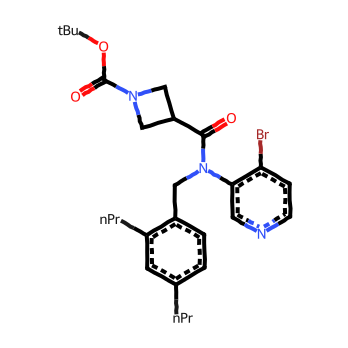 CCCc1ccc(CN(C(=O)C2CN(C(=O)OC(C)(C)C)C2)c2cnccc2Br)c(CCC)c1